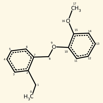 CCc1ccccc1COc1ccccc1OC